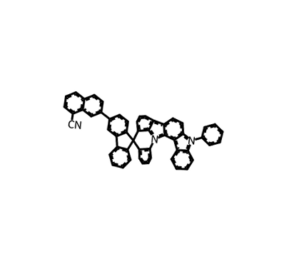 N#Cc1cccc2ccc(-c3ccc4c(c3)-c3ccccc3C43c4ccccc4-n4c5c3cccc5c3ccc5c(c6ccccc6n5-c5ccccc5)c34)cc12